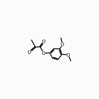 COc1ccc(OC(=O)C(C)=O)cc1OC